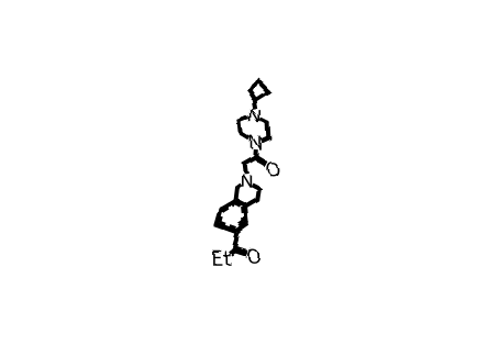 CCC(=O)c1ccc2c(c1)CCN(CC(=O)N1CCN(C3CCC3)CC1)C2